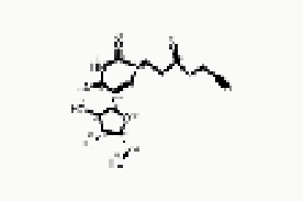 C#CCNC(=O)CCn1cc([C@@H]2O[C@H](CO)[C@H](O)C2O)c(=O)[nH]c1=O